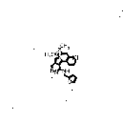 COC1=CC2=C(C=CCC2)C2=c3c(NCc4ccco4)nncc3=C[N+]12OC.Cl